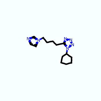 c1cn(CCCCc2nnnn2C2CCCCC2)cn1